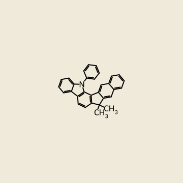 CC1(C)c2cc3ccccc3cc2-c2c1ccc1c3ccccc3n(-c3ccccc3)c21